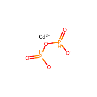 O=[PH]([O-])O[PH](=O)[O-].[Cd+2]